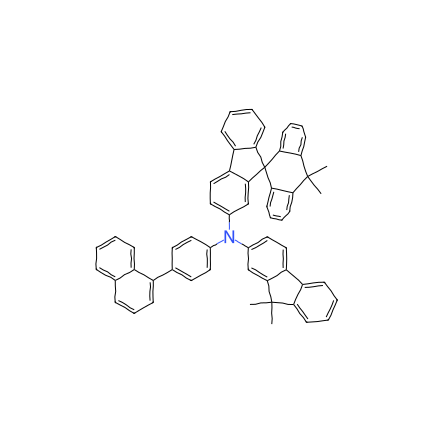 CC1(C)c2ccccc2-c2ccc(N(c3ccc(-c4cccc5ccccc45)cc3)c3ccc4c(c3)C3(c5ccccc5-4)c4ccccc4C(C)(C)c4ccccc43)cc21